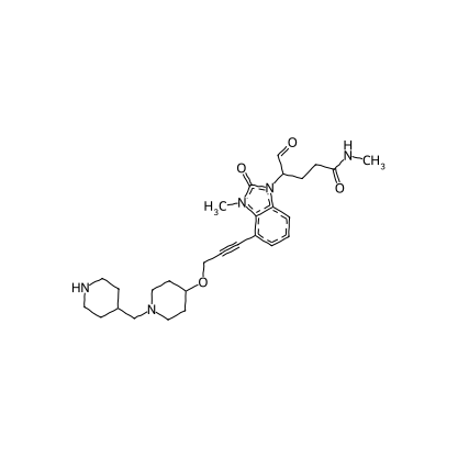 CNC(=O)CCC(C=O)n1c(=O)n(C)c2c(C#CCOC3CCN(CC4CCNCC4)CC3)cccc21